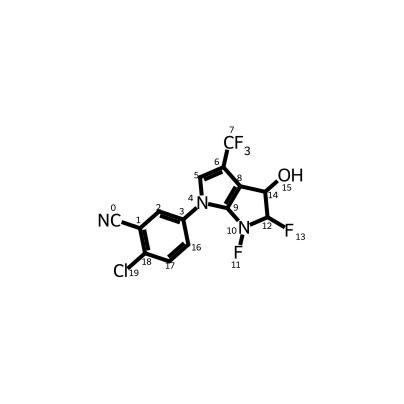 N#Cc1cc(-n2cc(C(F)(F)F)c3c2N(F)C(F)C3O)ccc1Cl